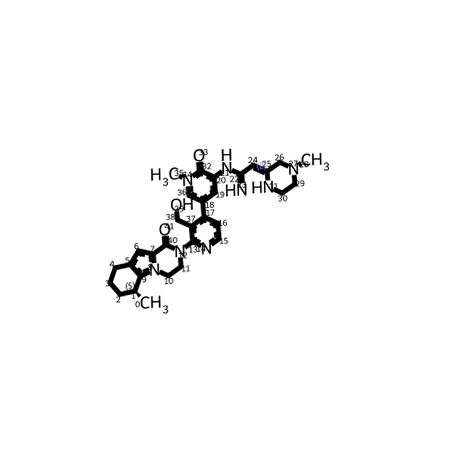 C[C@H]1CCCc2cc3n(c21)CCN(c1nccc(-c2cc(NC(=N)/C=C4/CN(C)CCN4)c(=O)n(C)c2)c1CO)C3=O